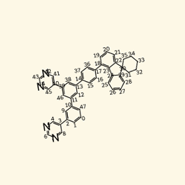 c1cc(-c2cncnc2)cc(-c2cc(-c3ccc(-c4cccc5c4-c4ccccc4C54CCCCC4)cc3)cc(-c3cncnc3)c2)c1